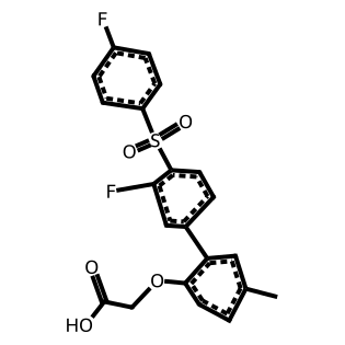 Cc1ccc(OCC(=O)O)c(-c2ccc(S(=O)(=O)c3ccc(F)cc3)c(F)c2)c1